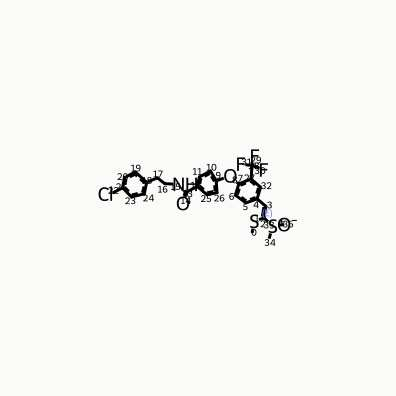 CS/C(=C\c1ccc(Oc2ccc(C(=O)NCCc3ccc(Cl)cc3)cc2)c(C(F)(F)F)c1)[S+](C)[O-]